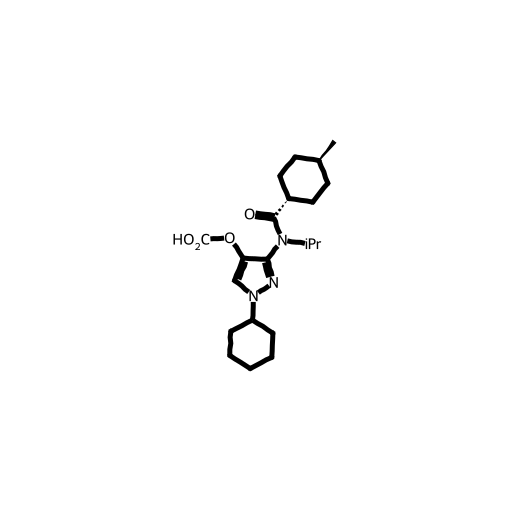 CC(C)N(c1nn(C2CCCCC2)cc1OC(=O)O)C(=O)[C@H]1CC[C@H](C)CC1